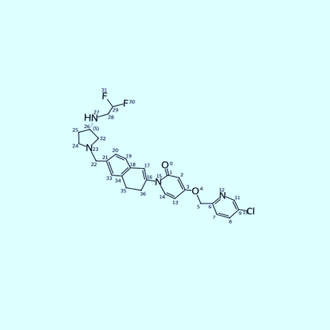 O=c1cc(OCc2ccc(Cl)cn2)ccn1C1=Cc2ccc(CN3CC[C@H](NCC(F)F)C3)cc2CC1